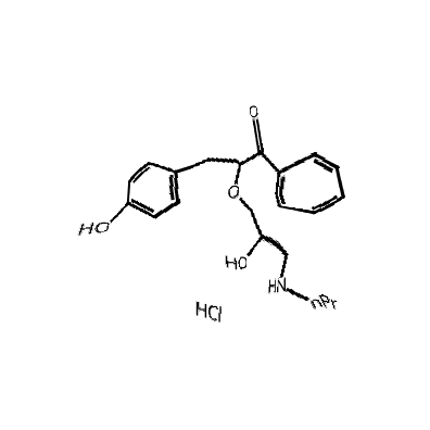 CCCNCC(O)COC(Cc1ccc(O)cc1)C(=O)c1ccccc1.Cl